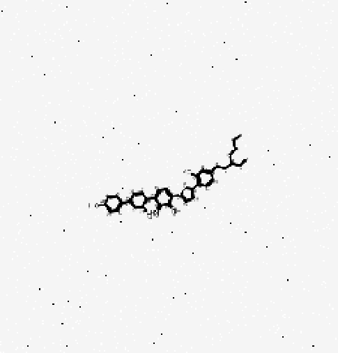 CCCCC(CC)CCc1ccc(-c2ccc(C3=CC=C(c4ccc(-c5ccc(O)cc5)cc4F)C(=N)C3=N)s2)c(F)c1